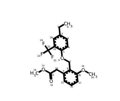 CCc1ccc(OCc2c(CC(=O)OC)cccc2OC)c(C(F)(F)F)c1